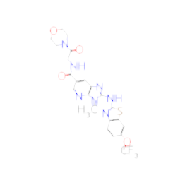 Cn1c(Nc2nc3ccc(OC(F)(F)F)cc3s2)nc2cc(C(=O)NCC(=O)N3CCOCC3)cnc21